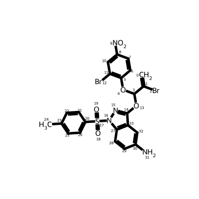 C=C(Br)C(Oc1ccc([N+](=O)[O-])cc1Br)Oc1nn(S(=O)(=O)c2ccc(C)cc2)c2ccc(N)cc12